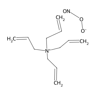 C=CC[N+](CC=C)(CC=C)CC=C.O=NO[O-]